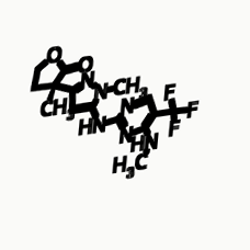 CNc1nc(Nc2cc([C@]3(C)CCOC3=O)nn2C)ncc1C(F)(F)F